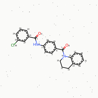 O=C(Nc1ccc(C(=O)N2CCCc3ccccc32)cc1)c1cccc(Cl)c1